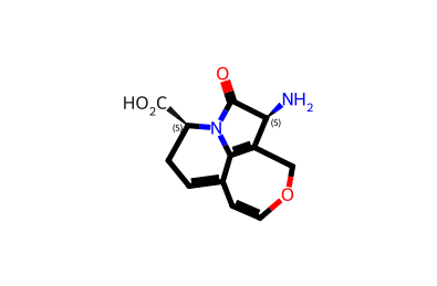 N[C@@H]1C(=O)N2C3=C1COC=CC3=CC[C@H]2C(=O)O